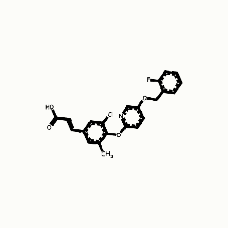 Cc1cc(/C=C/C(=O)O)cc(Cl)c1Oc1ccc(OCc2ccccc2F)cn1